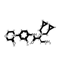 NC[C@@H](C(=O)Nc1ccc(N2CCOCC2=O)cc1F)N(CC1CC1)CC1CC1